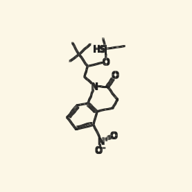 C[SiH](C)OC(CN1C(=O)CCc2c1cccc2[N+](=O)[O-])C(C)(C)C